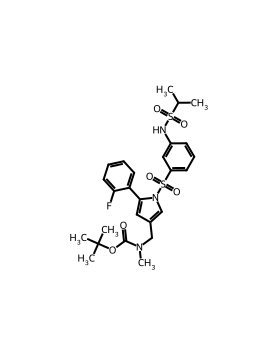 CC(C)S(=O)(=O)Nc1cccc(S(=O)(=O)n2cc(CN(C)C(=O)OC(C)(C)C)cc2-c2ccccc2F)c1